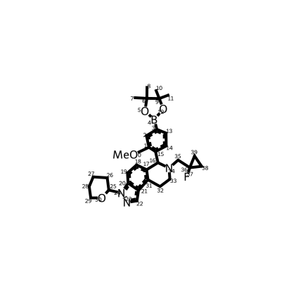 COc1cc(B2OC(C)(C)C(C)(C)O2)ccc1C1c2ccc3c(cnn3C3CCCCO3)c2CCN1CC1(F)CC1